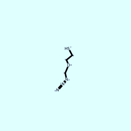 [N-]=[N+]=NCOCCS